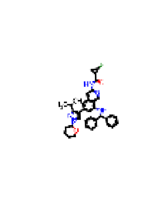 CC(C)c1nn(C2CCCCO2)cc1-c1cc(NC(c2ccccc2)c2ccccc2)c2cnc(NC(=O)C3CC3F)cc2c1